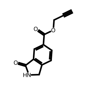 C#CCOC(=O)c1ccc2c(c1)C(=O)NC2